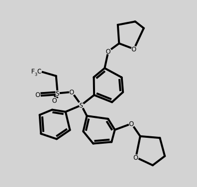 O=S(=O)(CC(F)(F)F)OS(c1ccccc1)(c1cccc(OC2CCCO2)c1)c1cccc(OC2CCCO2)c1